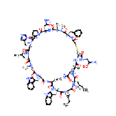 CCCC[C@H]1C(=O)N(C)[C@@H](CCCC)C(=O)N[C@H]2CCC(=O)NCCC[C@H](NC(=O)[C@H](Cc3c[nH]c4ccccc34)NC(=O)CN(C)C(=O)[C@H](CC(C)C)NC(=O)[C@H](Cc3cnc[nH]3)NC(=O)[C@@H]3CCCN3C(=O)[C@H](CC(N)=O)NC(=O)[C@H](C)N(C)C(=O)[C@H](Cc3ccccc3)NC(=O)CSC[C@@H](C(=O)NCC(N)O)NC2=O)C(=O)N[C@@H](Cc2c[nH]c3ccccc23)C(=O)N1C